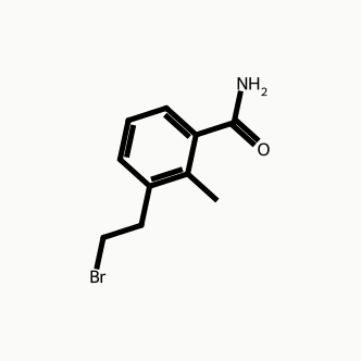 Cc1c(CCBr)cccc1C(N)=O